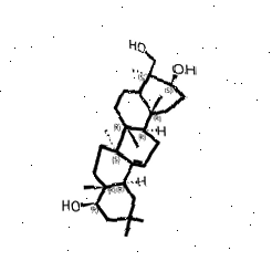 CC1(C)C[C@@H](O)[C@]2(C)CC[C@]3(C)C(=CC[C@@H]4[C@@]5(C)CC[C@H](O)[C@](C)(CO)C5CC[C@]43C)[C@H]2C1